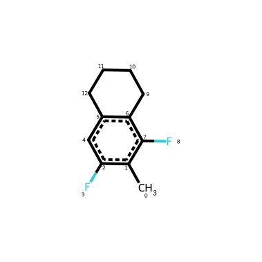 Cc1c(F)cc2c(c1F)CCCC2